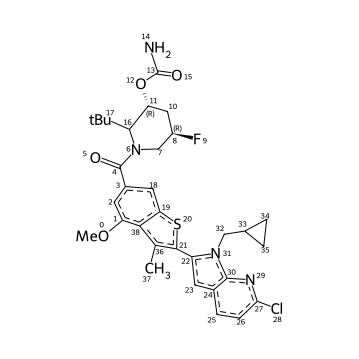 COc1cc(C(=O)N2C[C@H](F)C[C@@H](OC(N)=O)C2C(C)(C)C)cc2sc(-c3cc4ccc(Cl)nc4n3CC3CC3)c(C)c12